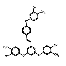 Cc1cc(Oc2cc(/C=C/c3ccc(Oc4ccc(C)c(C#N)c4)cc3)cc(Oc3ccc(C)c(C#N)c3)c2)ccc1C#N